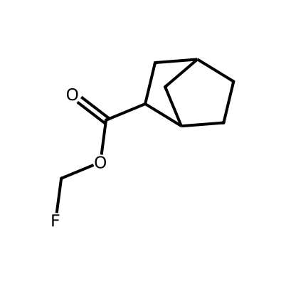 O=C(OCF)C1CC2CCC1C2